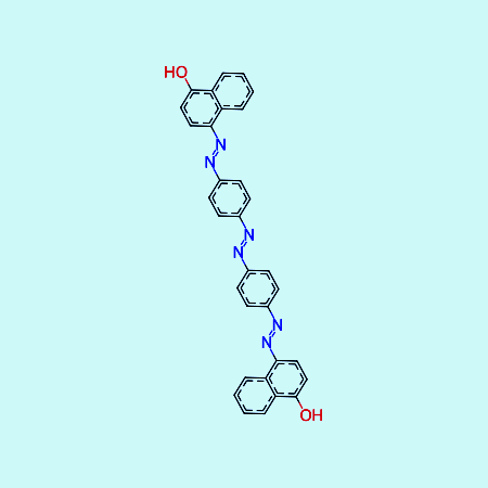 Oc1ccc(N=Nc2ccc(N=Nc3ccc(N=Nc4ccc(O)c5ccccc45)cc3)cc2)c2ccccc12